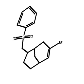 CCC1=CC2CCC(CS(=O)(=O)c3ccccc3)C(C1)C2